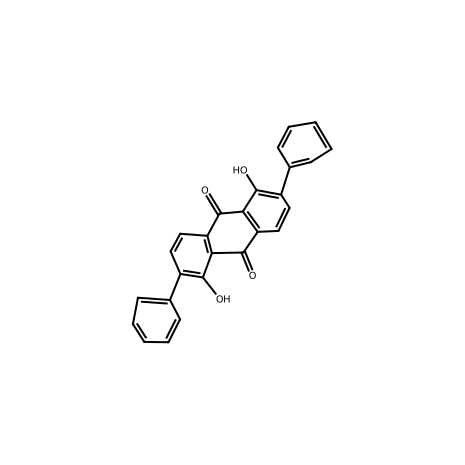 O=C1c2ccc(-c3ccccc3)c(O)c2C(=O)c2ccc(-c3ccccc3)c(O)c21